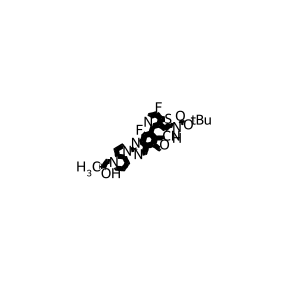 C[C@@H](O)CN1CCCC2C1CCN2c1ncc2c3c(c(-c4ncc(F)c5sc(NC(=O)OC(C)(C)C)c(C#N)c45)c(F)c2n1)COC3